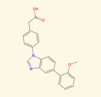 COc1ccccc1-c1ccc2c(c1)ncn2-c1ccc(CC(=O)O)cc1